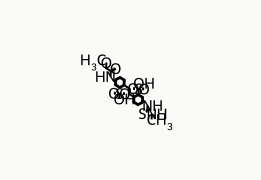 CNC(=S)Nc1ccc(C=Cc2ccc(NC(=O)COC)cc2S(=O)(=O)O)c(S(=O)(=O)O)c1